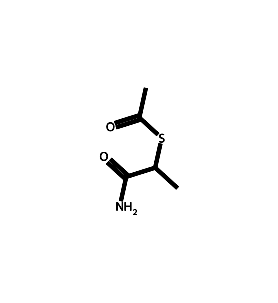 CC(=O)SC(C)C(N)=O